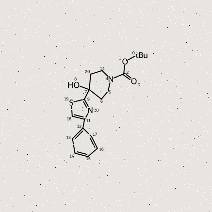 CC(C)(C)OC(=O)N1CCC(O)(c2nc(-c3ccccc3)cs2)CC1